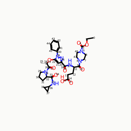 CCOC(=O)N1CCN(C(=O)C(CCC(=O)O)NC(=O)c2cc(O[C@@H](C)C(=O)N3CCCC3C(=O)NC3CC3)n(-c3ccccc3)n2)CC1